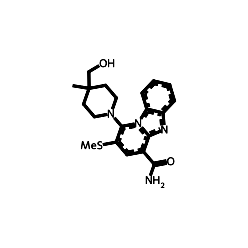 CSc1cc(C(N)=O)c2nc3ccccc3n2c1N1CCC(C)(CO)CC1